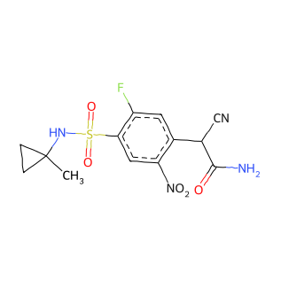 CC1(NS(=O)(=O)c2cc([N+](=O)[O-])c(C(C#N)C(N)=O)cc2F)CC1